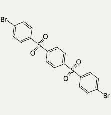 O=S(=O)(c1ccc(Br)cc1)c1ccc(S(=O)(=O)c2ccc(Br)cc2)cc1